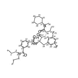 CCCN(CCC)C(=O)c1cccc(C(=O)NC(Cc2cc(F)cc(F)c2)[C@@H](O)C[C@@H](CC)C(=O)N(C)C2CCCCC2)c1